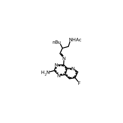 CCCCC(/C=N/c1nc(N)nc2cc(F)cnc12)CNC(C)=O